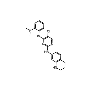 CP(C)c1ccccc1Nc1nc(Nc2ccc3c(c2)NCCC3)ncc1Cl